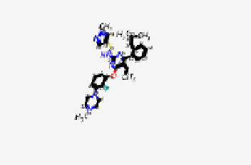 CCc1c(Oc2cccc(N3CCN(C)CC3)c2F)nc(NSc2cnn(C)c2)nc1-c1ccccc1CC(C)C